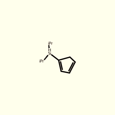 CC(C)[SiH](C1=CC=CC1)C(C)C